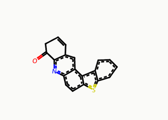 O=C1CC=Cc2cc3c(ccc4sc5ccccc5c43)nc21